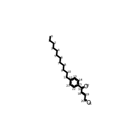 CCCCCCCCCCCCc1ccc(C(=O)C=C[C]=O)cc1